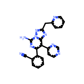 N#Cc1ccccc1-c1nc(N)n2nc(Cc3ccccn3)nc2c1-c1ccncn1